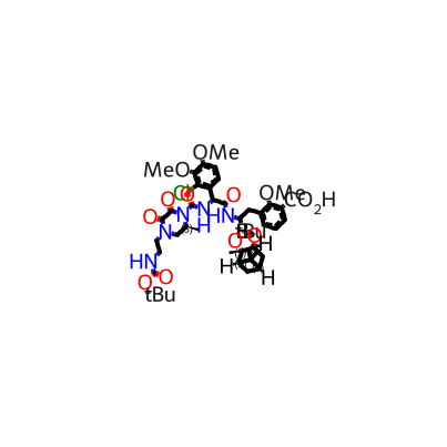 COc1ccc(C(NC(=O)N2C(=O)C(=O)N(CCNC(=O)OC(C)(C)C)C[C@@H]2C)C(=O)NC(Cc2c(C(C)(C)C)ccc(C(=O)O)c2OC)B2O[C@@H]3C[C@@H]4C[C@@H](C4(C)C)[C@]3(C)O2)c(Cl)c1OC